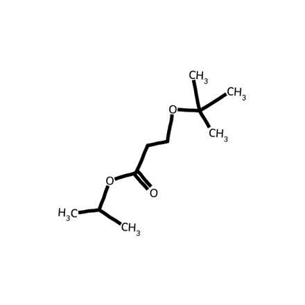 CC(C)OC(=O)CCOC(C)(C)C